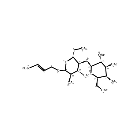 CCCCCCCCCC/C=C/CO[C@H]1O[C@H](COC(C)=O)[C@@H](O[C@@H]2O[C@H](COC(C)=O)[C@H](OC(C)=O)[C@H](OC(C)=O)[C@H]2OC(C)=O)[C@H](OC(C)=O)[C@H]1OC(C)=O